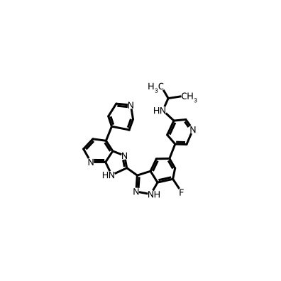 CC(C)Nc1cncc(-c2cc(F)c3[nH]nc(-c4nc5c(-c6ccncc6)ccnc5[nH]4)c3c2)c1